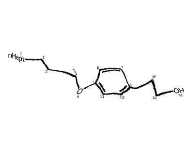 CCCCCCCCCCOc1ccc(CCO)cc1